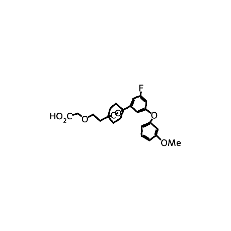 COc1cccc(Oc2cc(F)cc(C34CCC(CCOCC(=O)O)(CC3)CO4)c2)c1